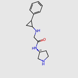 O=C(CNC1CC1c1ccccc1)N[C@H]1CCNC1